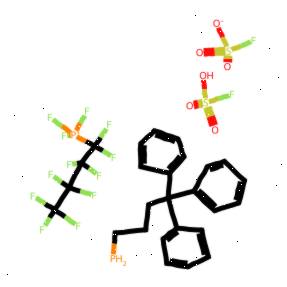 FC(F)(F)C(F)(F)C(F)(F)C(F)(F)[P+](F)(F)F.O=S(=O)(O)F.O=S(=O)([O-])F.PCCCC(c1ccccc1)(c1ccccc1)c1ccccc1